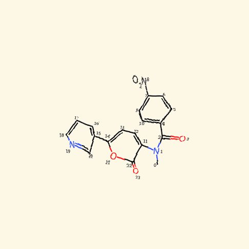 CN(C(=O)c1ccc([N+](=O)[O-])cc1)c1ccc(-c2cccnc2)oc1=O